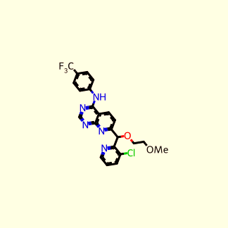 COCCOC(c1ccc2c(Nc3ccc(C(F)(F)F)cc3)ncnc2n1)c1ncccc1Cl